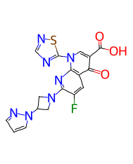 O=C(O)c1cn(-c2ncns2)c2nc(N3CC(n4cccn4)C3)c(F)cc2c1=O